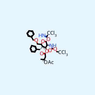 CC(=O)O[C@H](C)CC(=O)O[C@H]1[C@H](Cc2ccccc2)C(COCc2ccccc2)OC(OC(=N)C(Cl)(Cl)Cl)[C@H]1NC(=O)OCC(Cl)(Cl)Cl